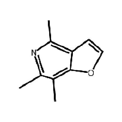 Cc1nc(C)c2ccoc2c1C